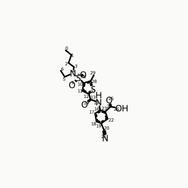 CCCCN(CC)S(=O)(=O)c1cc(C(=O)Nc2ccc(C#N)cc2C(=O)O)sc1C